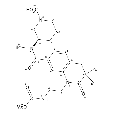 COC(=O)NCCN1C(=O)C(C)(C)Cc2ccc(C(=O)N(C(C)C)[C@@H]3CCCN(C(=O)O)C3)cc21